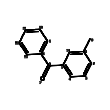 Cc1cccc(C(=O)c2ccccc2)c1